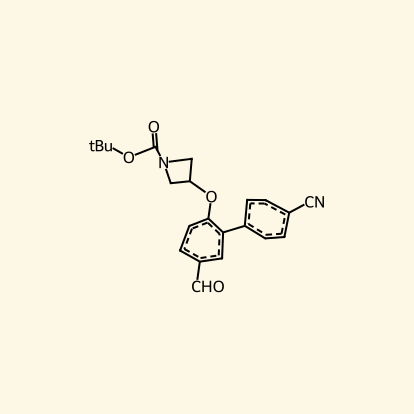 CC(C)(C)OC(=O)N1CC(Oc2ccc(C=O)cc2-c2ccc(C#N)cc2)C1